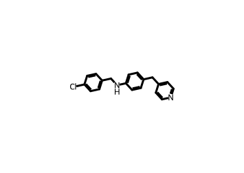 Clc1ccc(CNc2ccc(Cc3ccncc3)cc2)cc1